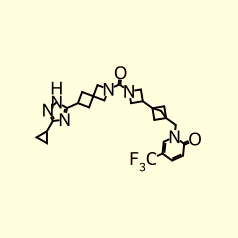 O=C(N1CC(C23CC(Cn4cc(C(F)(F)F)ccc4=O)(C2)C3)C1)N1CC2(CC(c3nc(C4CC4)n[nH]3)C2)C1